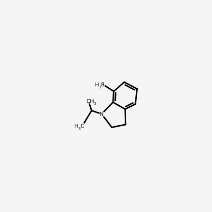 Bc1cccc2c1N(C(C)C)CC2